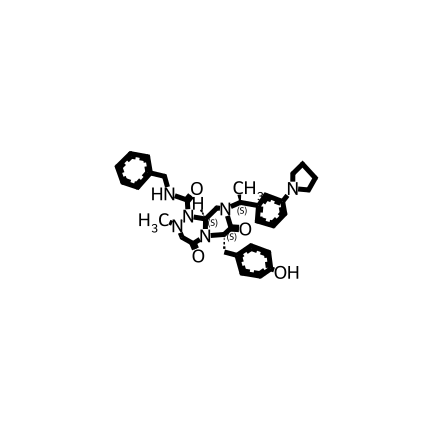 C[C@@H](c1cccc(N2CCCC2)c1)N1C[C@H]2N(C(=O)CN(C)N2C(=O)NCc2ccccc2)[C@@H](Cc2ccc(O)cc2)C1=O